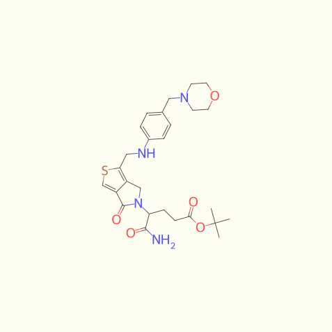 CC(C)(C)OC(=O)CCC(C(N)=O)N1Cc2c(csc2CNc2ccc(CN3CCOCC3)cc2)C1=O